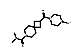 CC(C)N1CCN(C(=O)C2CC3(CCN(C(=O)N(C)C)CC3)C2)CC1